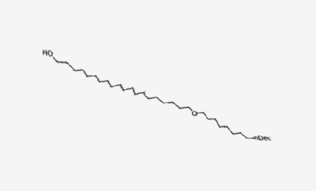 CCCCCCCCCCCCCCCCCCOCCCCCCCCCCCCCCCCCCCCO